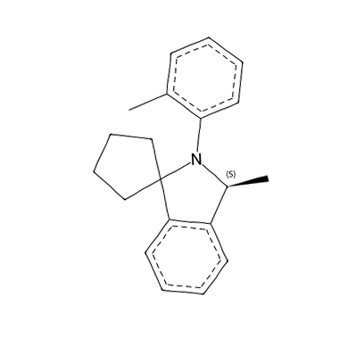 Cc1ccccc1N1[C@@H](C)c2ccccc2C12CCCC2